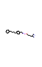 Cl.O=C(Cc1ccc(CCCCc2ccccc2)cc1)NOC(=O)CCCC1CNC1